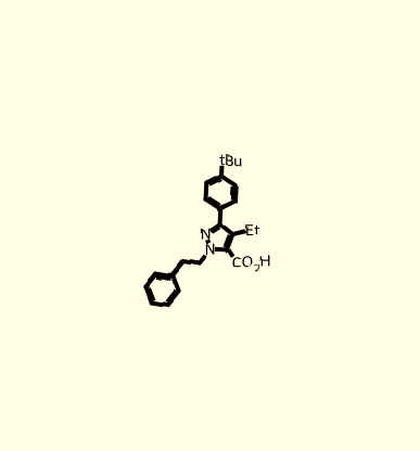 CCc1c(-c2ccc(C(C)(C)C)cc2)nn(CCc2ccccc2)c1C(=O)O